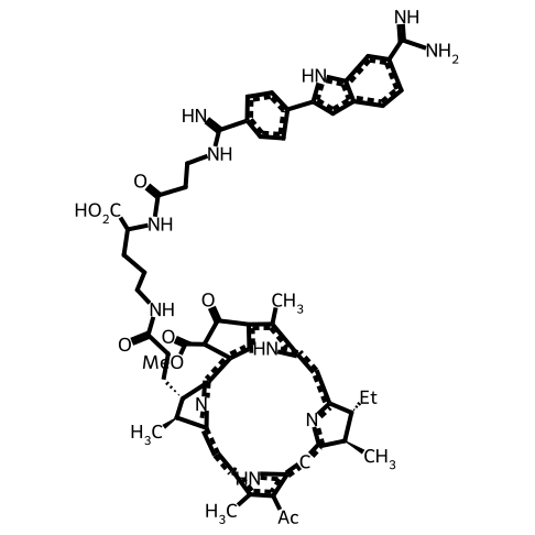 CC[C@H]1c2cc3[nH]c4c(c3C)C(=O)C(C(=O)OC)c4c3nc(cc4[nH]c(cc(n2)[C@@H]1C)c(C(C)=O)c4C)[C@@H](C)[C@@H]3CCC(=O)NCCCC(NC(=O)CCNC(=N)c1ccc(-c2cc3ccc(C(=N)N)cc3[nH]2)cc1)C(=O)O